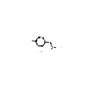 COC(=Cc1ccc(O)cc1)C(=O)O.[BaH2]